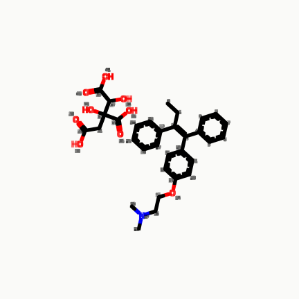 CC/C(=C(\c1ccccc1)c1ccc(OCCN(C)C)cc1)c1ccccc1.O=C(O)CC(O)(C(=O)O)C(O)C(=O)O